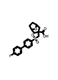 O=C(O)C1(CS(=O)(=O)c2ccc(-c3ccc(F)cc3)cc2)CC2CCC(C1)O2